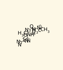 Cc1ncc(C(=O)NCCN2CCCC2(C)C)cc1NC(=O)c1cnn2cc(-c3cncnc3)sc12